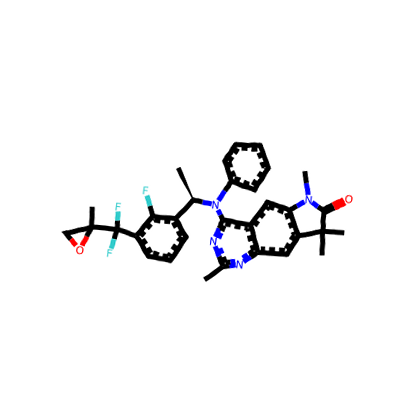 Cc1nc(N(c2ccccc2)[C@H](C)c2cccc(C(F)(F)C3(C)CO3)c2F)c2cc3c(cc2n1)C(C)(C)C(=O)N3C